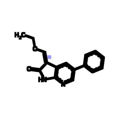 CCO/C=C1\C(=O)Nc2ncc(-c3ccccc3)cc21